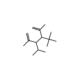 C=C(C)C(C(C)C)C(C(=C)C)C(C)(C)C